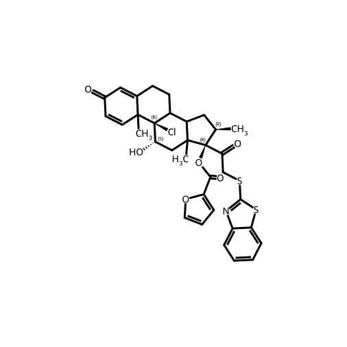 C[C@@H]1CC2C3CCC4=CC(=O)C=CC4(C)[C@@]3(Cl)[C@@H](O)CC2(C)[C@@]1(OC(=O)c1ccco1)C(=O)CSc1nc2ccccc2s1